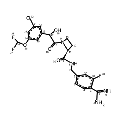 N=C(N)c1ccc(CNC(=O)[C@@H]2CCN2C(=O)[C@H](O)c2cc(Cl)cc(OC(F)F)c2)cc1F